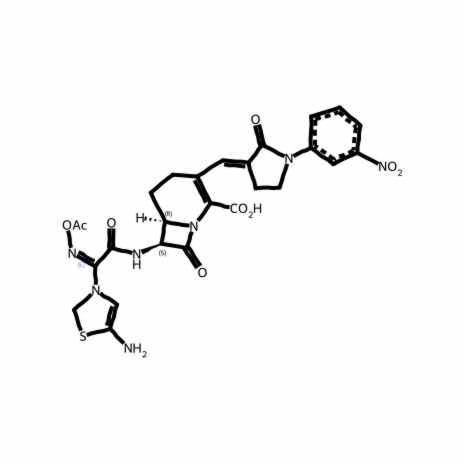 CC(=O)O/N=C(\C(=O)N[C@@H]1C(=O)N2C(C(=O)O)=C(C=C3CCN(c4cccc([N+](=O)[O-])c4)C3=O)CC[C@H]12)N1C=C(N)SC1